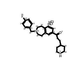 Cl.Cl.O=C(CCC1CCNCC1)c1ccc2c(c1)CCN(Cc1ccc(F)cc1)CC2